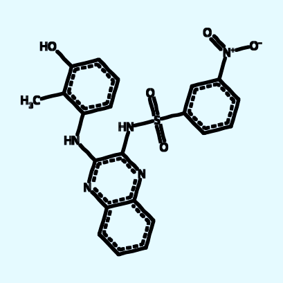 Cc1c(O)cccc1Nc1nc2ccccc2nc1NS(=O)(=O)c1cccc([N+](=O)[O-])c1